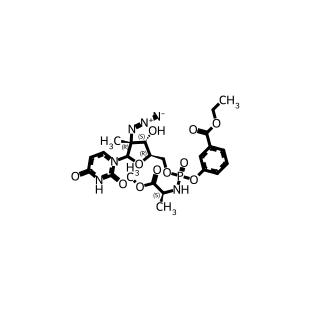 CCOC(=O)c1cccc(OP(=O)(N[C@@H](C)C(=O)OC)OC[C@H]2OC(n3ccc(=O)[nH]c3=O)[C@](C)(N=[N+]=[N-])[C@@H]2O)c1